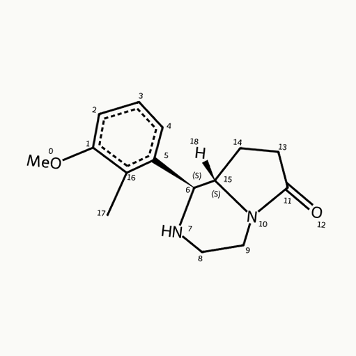 COc1cccc([C@@H]2NCCN3C(=O)CC[C@@H]23)c1C